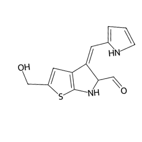 O=CC1Nc2sc(CO)cc2C1=Cc1ccc[nH]1